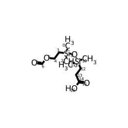 C[Si](C)(CCOC=O)O[Si](C)(C)CCC(=O)O